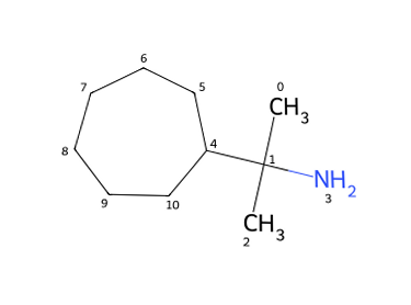 CC(C)(N)C1CCCCCC1